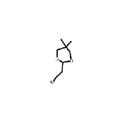 CC1(C)COC(CCBr)OC1